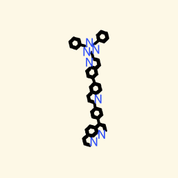 c1ccc(-c2nc(-c3ccccc3)nc(-c3ccc4cc(-c5ccc6nc(-c7ccc(-c8ccnc9c8ccc8cccnc89)cc7)ccc6c5)ccc4n3)n2)cc1